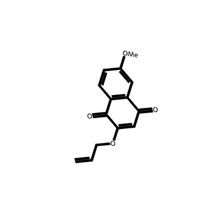 C=CCOC1=CC(=O)c2cc(OC)ccc2C1=O